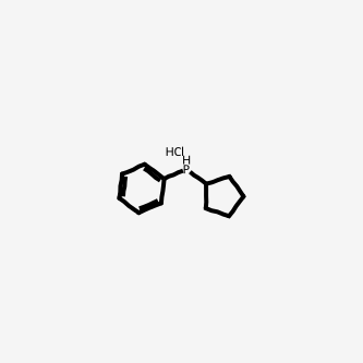 Cl.c1ccc(PC2CCCC2)cc1